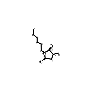 CCCCCCN1C(=O)CC(C)C1=O